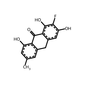 Cc1cc(O)c2c(c1)Cc1cc(O)c(F)c(O)c1C2=O